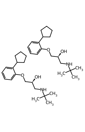 CC(C)(C)NC[C@H](O)COc1ccccc1C1CCCC1.CC(C)(C)NC[C@H](O)COc1ccccc1C1CCCC1